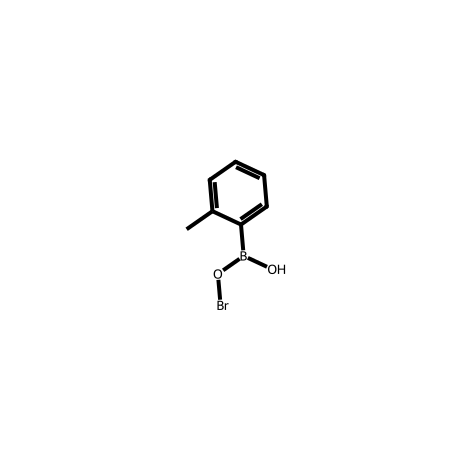 Cc1ccccc1B(O)OBr